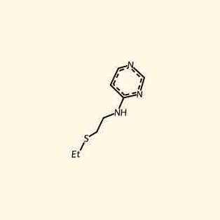 CCSCCNc1ccncn1